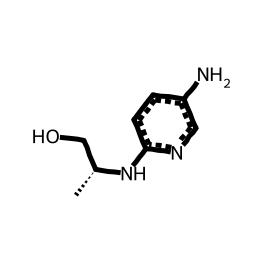 C[C@H](CO)Nc1ccc(N)cn1